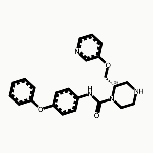 O=C(Nc1ccc(Oc2ccccc2)cc1)N1CCNC[C@H]1COc1cccnc1